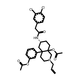 C=CCN1CCC2(c3cccc(OC(C)=O)c3)C[C@H](NC(=O)Cc3ccc(Cl)c(Cl)c3)CCC2(OC(C)=O)C1